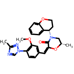 COc1cc(C=C2O[C@@H](C)CN([C@H]3CCOc4ccccc43)C2=O)ccc1-n1cnc(C)n1